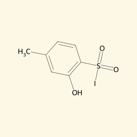 Cc1ccc(S(=O)(=O)I)c(O)c1